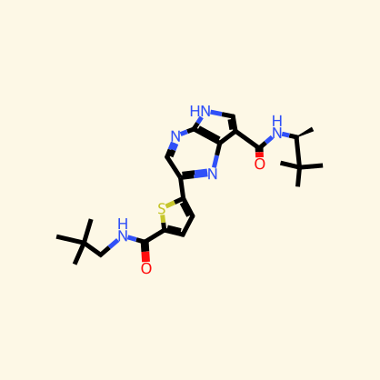 C[C@H](NC(=O)c1c[nH]c2ncc(-c3ccc(C(=O)NCC(C)(C)C)s3)nc12)C(C)(C)C